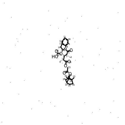 C[C@H](C[C@@H](C)C(=O)N1c2ccccc2C[C@@H]1OC(=O)O)C(=O)OCC(=O)OC1CC2CCC1(C)C2(C)C